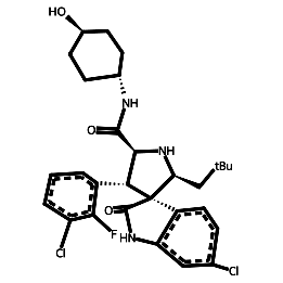 CC(C)(C)C[C@@H]1N[C@H](C(=O)N[C@H]2CC[C@H](O)CC2)[C@@H](c2cccc(Cl)c2F)[C@]12C(=O)Nc1cc(Cl)ccc12